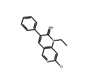 CCn1c(=N)c(-c2ccccc2)cc2cnc(Cl)cc21